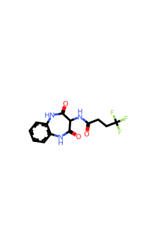 O=C(CCC(F)(F)F)NC1C(=O)Nc2ccccc2NC1=O